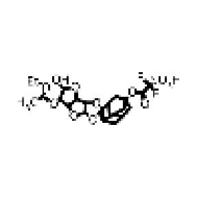 CCOC(C)OC1C(O)OC2C3OC4(OC3OC12)C1CC2CC4CC(OC(=O)C(F)(F)S(=O)(=O)O)(C2)C1